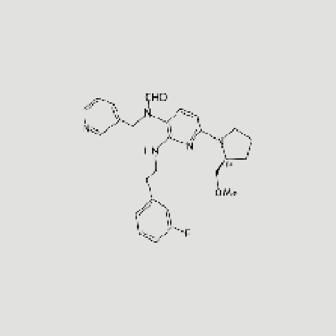 COC[C@@H]1CCCN1c1ccc(N(C=O)Cc2cccnc2)c(NCCc2cccc(F)c2)n1